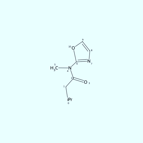 CC(C)CC(=O)N(C)c1ncco1